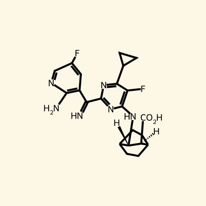 N=C(c1nc(N[C@H]2C3CCC(CC3)[C@@H]2C(=O)O)c(F)c(C2CC2)n1)c1cc(F)cnc1N